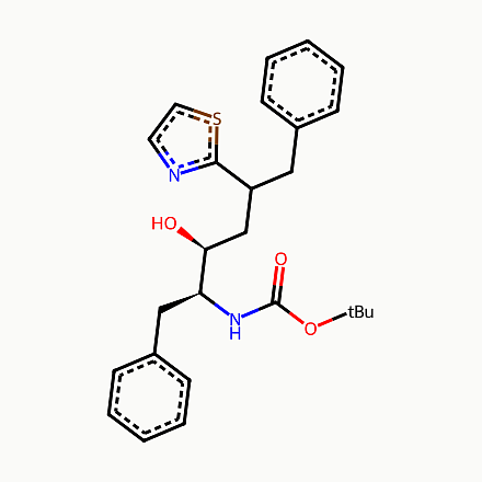 CC(C)(C)OC(=O)N[C@@H](Cc1ccccc1)[C@@H](O)CC(Cc1ccccc1)c1nccs1